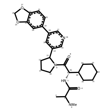 CNC(C)C(=O)N[C@H](C(=O)N1CCCC1c1cncc(-c2ccc3c(c2)OCO3)c1)C1CCCCC1